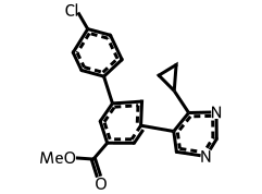 COC(=O)c1cc(-c2ccc(Cl)cc2)cc(-c2cncnc2C2CC2)c1